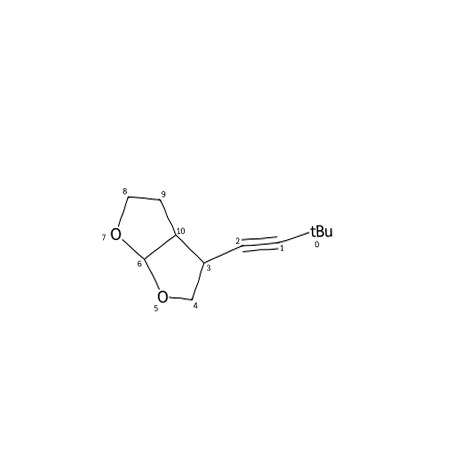 CC(C)(C)C#CC1COC2OCCC12